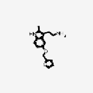 Cc1[nH]c2ccc(OCc3cccs3)cc2c1CCN